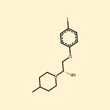 CC1CCN([C@H](COc2ccc(I)cc2)C(C)C)CC1